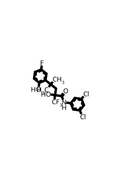 CC(C)(CC(O)(C(=O)Nc1cc(Cl)cc(Cl)c1)C(F)(F)F)c1cc(F)ccc1O